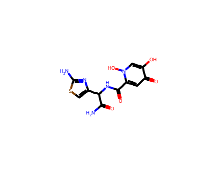 NC(=O)C(NC(=O)c1cc(=O)c(O)cn1O)c1csc(N)n1